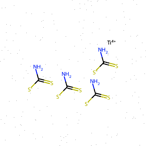 NC(=S)[S-].NC(=S)[S-].NC(=S)[S-].NC(=S)[S-].[Ti+4]